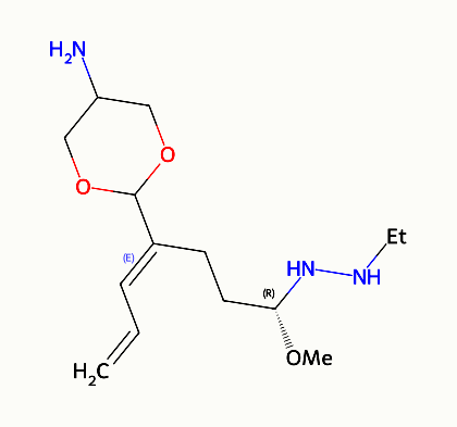 C=C/C=C(\CC[C@H](NNCC)OC)C1OCC(N)CO1